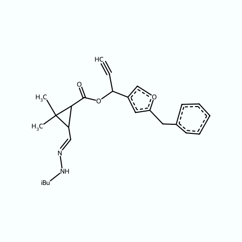 C#CC(OC(=O)C1C(C=NNC(C)CC)C1(C)C)c1coc(Cc2ccccc2)c1